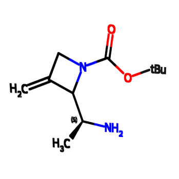 C=C1CN(C(=O)OC(C)(C)C)C1[C@H](C)N